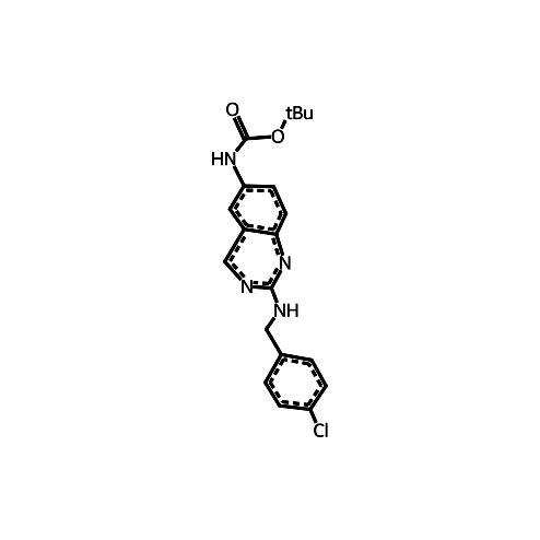 CC(C)(C)OC(=O)Nc1ccc2nc(NCc3ccc(Cl)cc3)ncc2c1